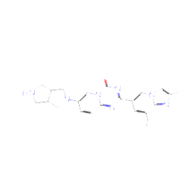 Cc1cn2cc(-c3nc(=O)n4cc(N5CC6CNCC6C5)ccc4n3)cc(F)c2n1